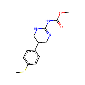 COC(=O)NC1=NCC(c2ccc(SC)cc2)CN1